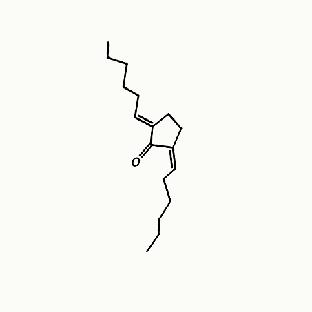 CCCCCC=C1CCC(=CCCCCC)C1=O